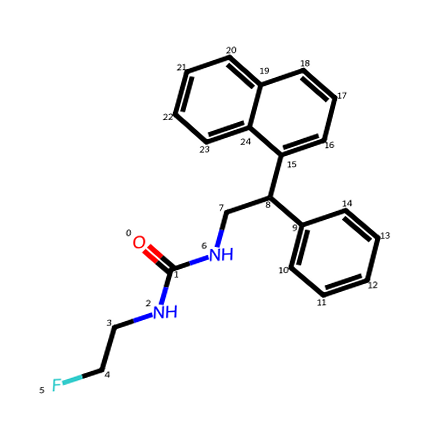 O=C(NCCF)NCC(c1ccccc1)c1cccc2ccccc12